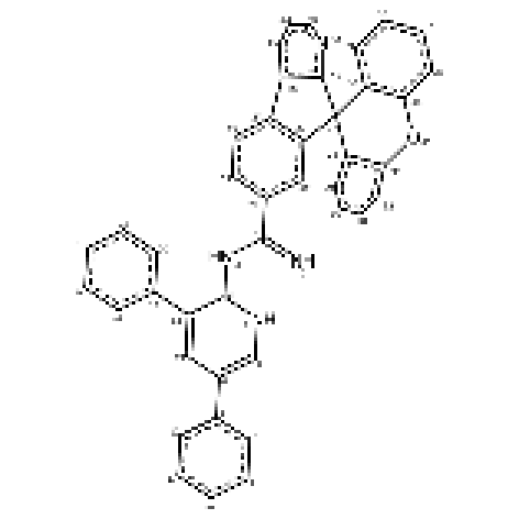 N=C(NC1NC=C(c2ccccc2)C=C1c1ccccc1)c1ccc2c(c1)C1(c3ccccc3Oc3ccccc31)c1ncccc1-2